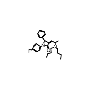 CCCCN(CCCC)C(C)C=C1C(=O)N(c2ccc(F)cc2)C1c1ccccc1